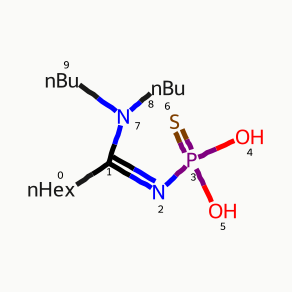 CCCCCCC(=NP(O)(O)=S)N(CCCC)CCCC